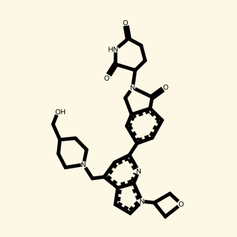 O=C1CCC(N2Cc3cc(-c4cc(CN5CCC(CO)CC5)c5ccn(C6COC6)c5n4)ccc3C2=O)C(=O)N1